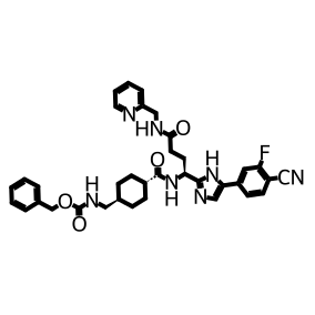 N#Cc1ccc(-c2cnc([C@H](CCC(=O)NCc3ccccn3)NC(=O)[C@H]3CC[C@H](CNC(=O)OCc4ccccc4)CC3)[nH]2)cc1F